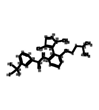 CC(N)CCOc1cccc(NC(=O)c2cccc(C(F)(F)F)c2)c1-c1c(Cl)cnn1C